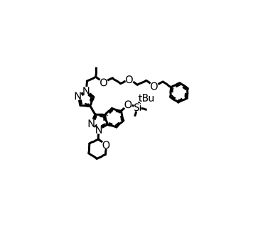 CC(Cn1cc(-c2nn(C3CCCCO3)c3ccc(O[Si](C)(C)C(C)(C)C)cc23)cn1)OCCOCCOCc1ccccc1